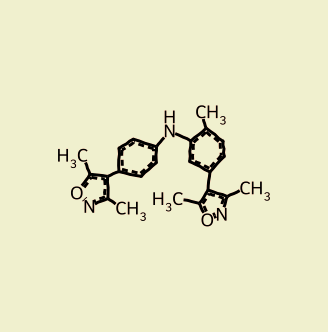 Cc1ccc(-c2c(C)noc2C)cc1Nc1ccc(-c2c(C)noc2C)cc1